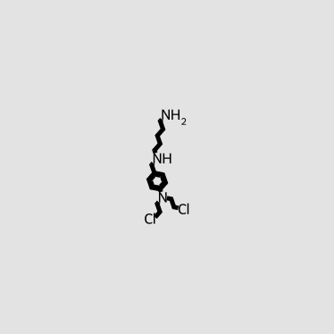 NCCCCCNCc1ccc(N(CCCl)CCCl)cc1